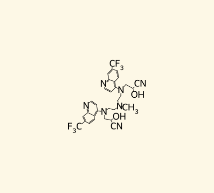 CN(CCN(CC(O)C#N)c1ccnc2cc(C(F)(F)F)ccc12)CCN(CC(O)C#N)c1ccnc2cc(C(F)(F)F)ccc12